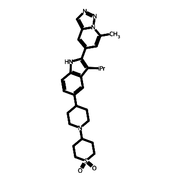 Cc1cc(-c2[nH]c3ccc(C4CCN(C5CCS(=O)(=O)CC5)CC4)cc3c2C(C)C)cc2cnnn12